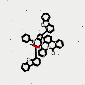 O=c1c2ccccc2c2cccc3c2n1-c1ccccc1C31c2cc(-c3cccc4c3oc3ccccc34)ccc2N(c2ccccc2)c2ccc(-c3cccc4c3oc3ccccc34)cc21